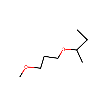 CCC(C)OCCCOC